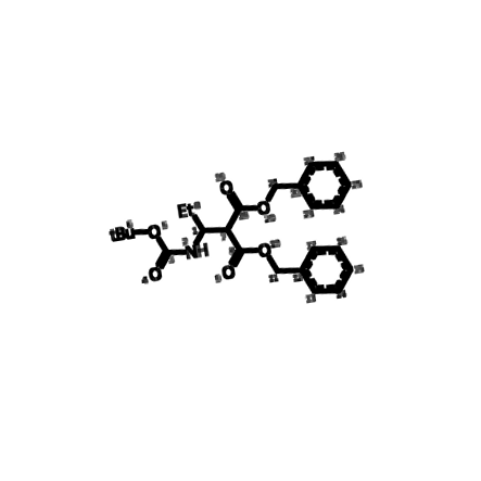 CCC(NC(=O)OC(C)(C)C)C(C(=O)OCc1ccccc1)C(=O)OCc1ccccc1